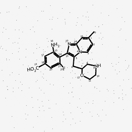 Cc1ccn2c(CC3CNCCO3)c(-c3c(N)cc(C(=O)O)cc3F)nc2c1